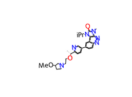 CO[C@@H]1CCN(CCO[C@H](C)c2ccc(-c3ccc4nnc5c(c4c3)n(C(C)C)c(=O)n5C)cn2)C1